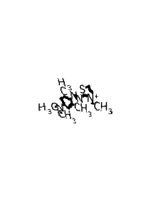 CC[n+]1ccsc1/N=N/c1c(C)cc(N(C)C)cc1C